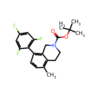 Cc1ccc(-c2c(F)cc(F)cc2F)c2c1CCN(C(=O)OC(C)(C)C)C2